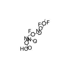 COCCn1c(Cc2ccc(-c3cccc(OCc4cc(F)c(C)cc4F)n3)cc2F)nc2ccc(C(=O)O)cc21